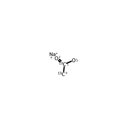 [13CH3][13C](=O)[O-].[Na+]